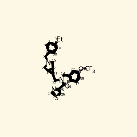 CCc1ccc(CN2CC3C(C2)C3CN(Cc2cccc(OC(F)(F)F)c2)C(=O)c2cscn2)cc1